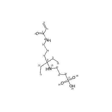 C=CC(=O)NCCCC(CC)(CC)NCCCS(=O)(=O)O